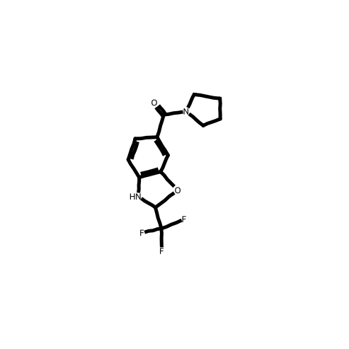 O=C(c1ccc2c(c1)OC(C(F)(F)F)N2)N1CCCC1